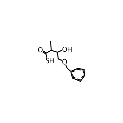 CC(C(=O)S)C(O)COCc1ccccc1